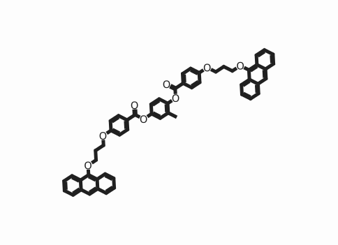 Cc1cc(OC(=O)c2ccc(OCCCOc3c4ccccc4cc4ccccc34)cc2)ccc1OC(=O)c1ccc(OCCCOc2c3ccccc3cc3ccccc23)cc1